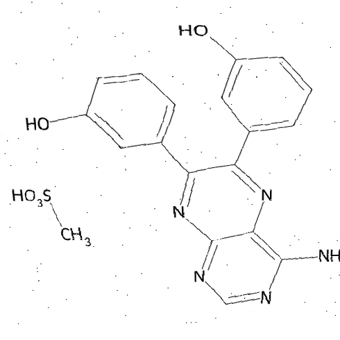 CS(=O)(=O)O.Nc1ncnc2nc(-c3cccc(O)c3)c(-c3cccc(O)c3)nc12